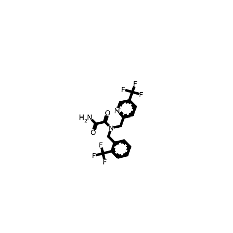 NC(=O)C(=O)N(Cc1ccc(C(F)(F)F)cn1)Cc1ccccc1C(F)(F)F